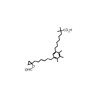 Cc1c(CCCCCCC2(OC=O)CC2)cc(CCCCCCC(C)(C)C(=O)O)c(C)c1C